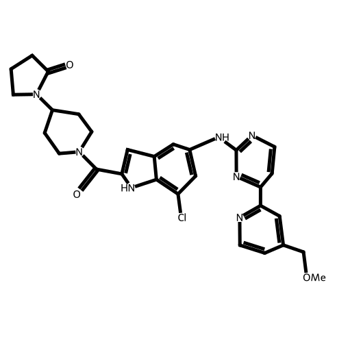 COCc1ccnc(-c2ccnc(Nc3cc(Cl)c4[nH]c(C(=O)N5CCC(N6CCCC6=O)CC5)cc4c3)n2)c1